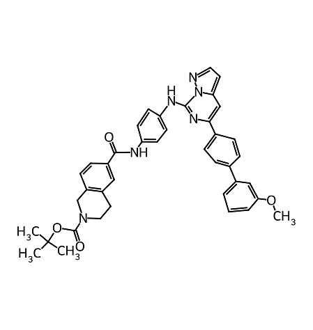 COc1cccc(-c2ccc(-c3cc4ccnn4c(Nc4ccc(NC(=O)c5ccc6c(c5)CCN(C(=O)OC(C)(C)C)C6)cc4)n3)cc2)c1